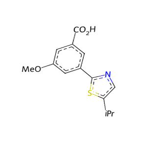 COc1cc(C(=O)O)cc(-c2ncc(C(C)C)s2)c1